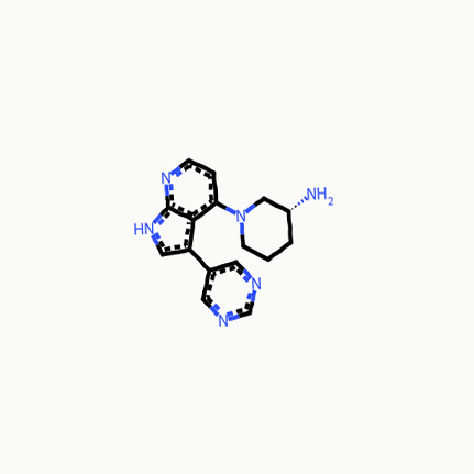 N[C@@H]1CCCN(c2ccnc3[nH]cc(-c4cncnc4)c23)C1